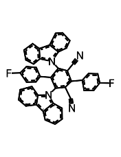 N#Cc1c(-c2ccc(F)cc2)c(C#N)c(-n2c3ccccc3c3ccccc32)c(-c2ccc(F)cc2)c1-n1c2ccccc2c2ccccc21